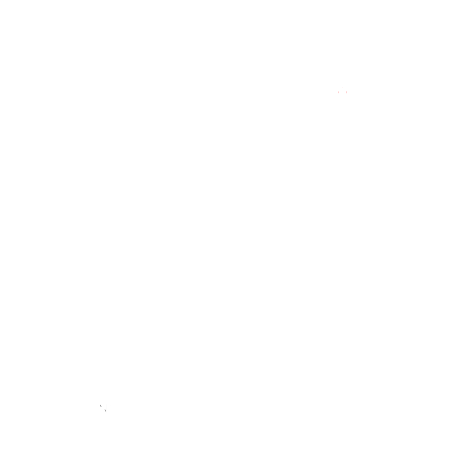 CCOCCOc1ccc(C(=O)Oc2ccc(C#N)c(F)c2)cc1